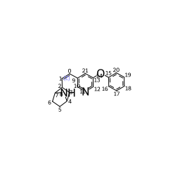 C(=C/C1CC2CCC1N2)/c1cncc(Oc2ccccc2)c1